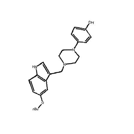 CCCCOc1ccc2[nH]cc(CN3CCN(c4ccc(O)cc4)CC3)c2c1